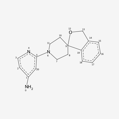 Nc1ccnc(N2CCC3(CC2)OCc2ccccc23)c1